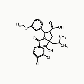 COc1cccc(C2C(C(=O)O)CC(CC(C)C)(C(=O)O)N2C(=O)c2ccc(Cl)c(Cl)c2)c1